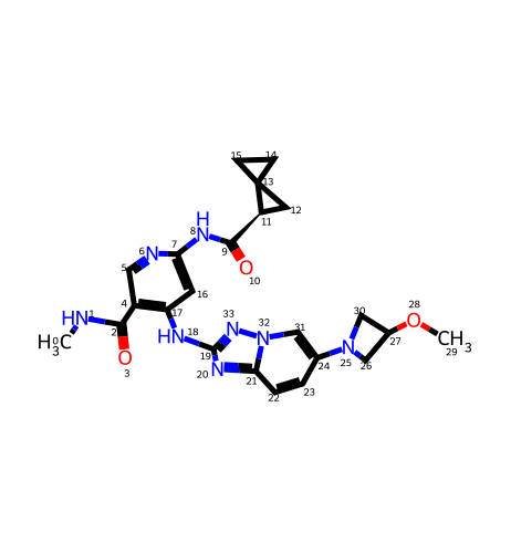 CNC(=O)c1cnc(NC(=O)[C@@H]2CC23CC3)cc1Nc1nc2ccc(N3CC(OC)C3)cn2n1